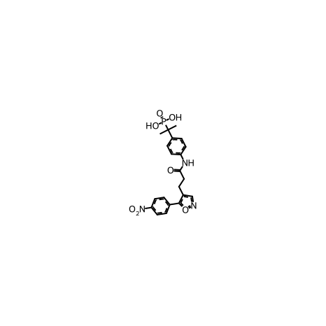 CC(C)(c1ccc(NC(=O)CCc2cnoc2-c2ccc([N+](=O)[O-])cc2)cc1)P(=O)(O)O